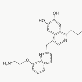 CCCc1ncc(Cc2ccc3cccc(OCCN)c3n2)c2cc(O)c(O)cc12